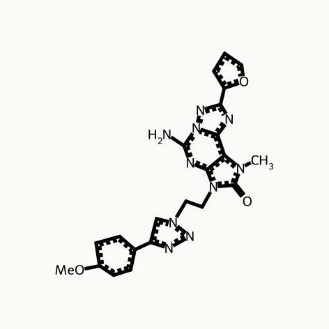 COc1ccc(-c2cn(CCn3c(=O)n(C)c4c3nc(N)n3nc(-c5ccco5)nc43)nn2)cc1